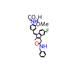 COc1cc(/C=C2/C(C)=C(CC(=O)NCc3ccccc3)c3cc(F)ccc32)ccc1NCC(=O)O